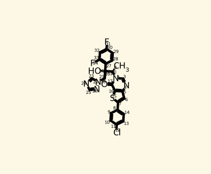 C[C@@H](n1cnc2cc(-c3ccc(Cl)cc3)sc2c1=O)[C@](O)(Cn1cncn1)c1ccc(F)cc1F